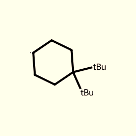 CC(C)(C)C1(C(C)(C)C)CC[CH]CC1